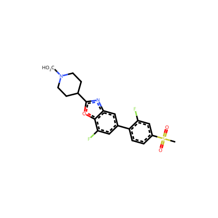 CS(=O)(=O)c1ccc(-c2cc(F)c3oc(C4CCN(C(=O)O)CC4)nc3c2)c(F)c1